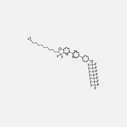 FC1(F)c2nc(-c3ncc(-c4ccc(OC(F)(F)C(F)(F)C(F)(F)C(F)(F)C(F)(F)C(F)(F)C(F)(F)F)cc4)cn3)ccc2OC1CCCCCCCCCC1CC1